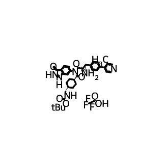 Cc1cnccc1-c1ccc(C[C@H](N)C(=O)N(c2ccc3c(=O)[nH][nH]c3c2)C(=O)[C@H]2CC[C@H](CNC(=O)OC(C)(C)C)CC2)cc1.O=C(O)C(F)(F)F